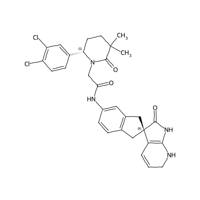 CC1(C)CC[C@@H](c2ccc(Cl)c(Cl)c2)N(CC(=O)Nc2ccc3c(c2)C[C@@]2(C3)C(=O)NC3=C2C=CCN3)C1=O